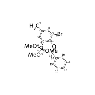 CO[Si](OC)(OC)c1cc(C)cc(Br)c1OCc1ccccc1